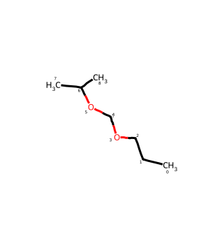 CCCO[CH]OC(C)C